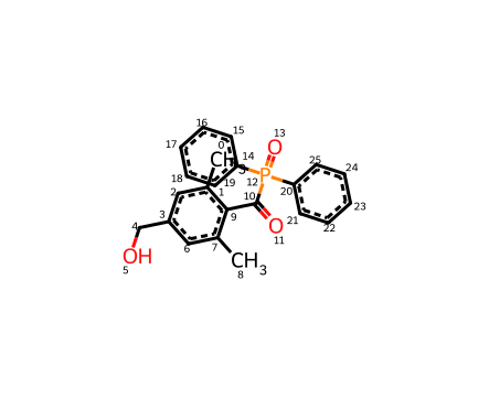 Cc1cc(CO)cc(C)c1C(=O)P(=O)(c1ccccc1)c1ccccc1